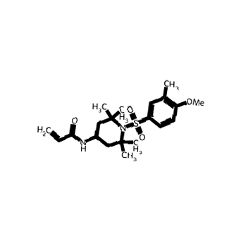 C=CC(=O)NC1CC(C)(C)N(S(=O)(=O)c2ccc(OC)c(C)c2)C(C)(C)C1